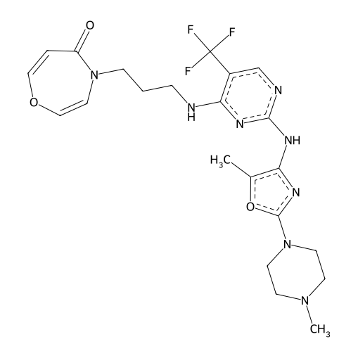 Cc1oc(N2CCN(C)CC2)nc1Nc1ncc(C(F)(F)F)c(NCCCN2C=COC=CC2=O)n1